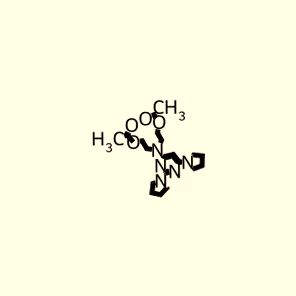 CC(=O)OCCN(CCOC(C)=O)c1cc(N2CCCC2)nc(N2CCCC2)n1